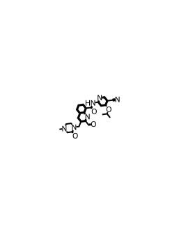 CC(C)Oc1cc(NC(=O)c2cccc3cc(CN4CCN(C)CC4=O)c(C=O)nc23)ncc1C#N